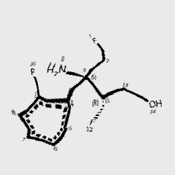 N[C@](CF)(c1ccccc1F)[C@@H](F)CO